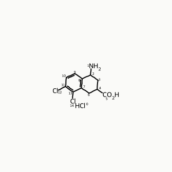 Cl.NC1CC(C(=O)O)Cc2c1ccc(Cl)c2Cl